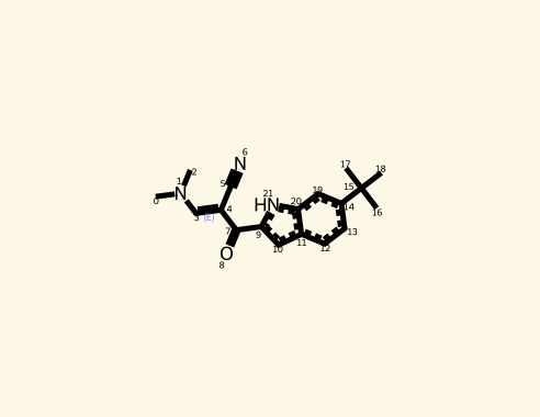 CN(C)/C=C(\C#N)C(=O)c1cc2ccc(C(C)(C)C)cc2[nH]1